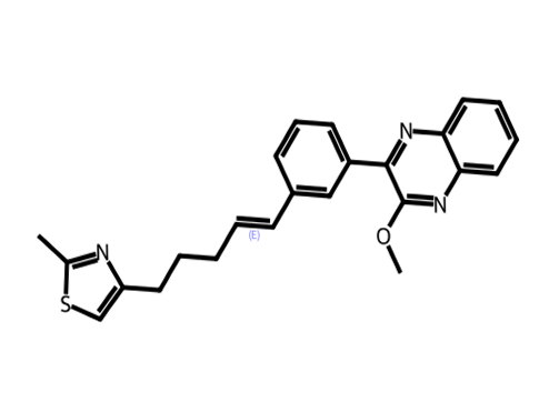 COc1nc2ccccc2nc1-c1cccc(/C=C/CCCc2csc(C)n2)c1